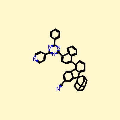 N#Cc1ccc2c(c1)C1(c3cccc(-c4ccc(-c5nc(-c6ccccc6)nc(-c6ccncc6)n5)c5ccccc45)c3-2)C2CC3CC(C2)CC1C3